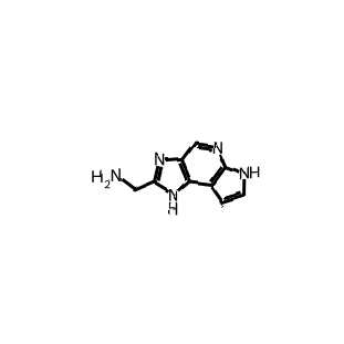 NCc1nc2cnc3[nH]c[c]c3c2[nH]1